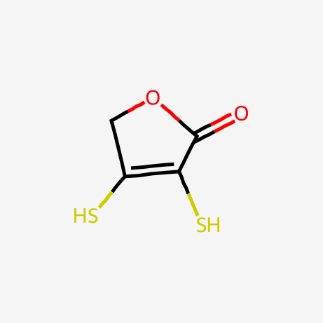 O=C1OCC(S)=C1S